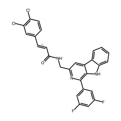 O=C(/C=C/c1ccc(Cl)c(Cl)c1)NCc1cc2c([nH]c3ccccc32)c(-c2cc(F)cc(F)c2)n1